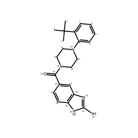 CC(C)(C)c1ccccc1N1CCN(C(=O)c2ccc3[nH]c(S)nc3c2)CC1